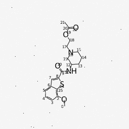 COc1cccc2cc(C(=O)N[C@@H]3CCCN(CCOC(C)=O)C3)sc12